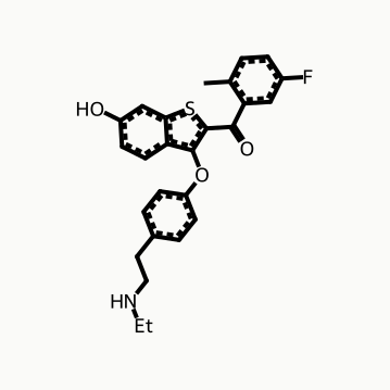 CCNCCc1ccc(Oc2c(C(=O)c3cc(F)ccc3C)sc3cc(O)ccc23)cc1